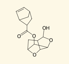 O=C(OC1C2CC3C(O)OC1C3O2)C1CC2C=CC1C2